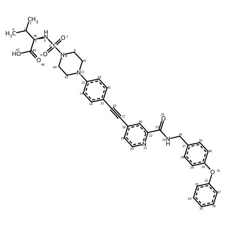 CC(C)[C@@H](NS(=O)(=O)N1CCN(c2ccc(C#Cc3ccnc(C(=O)NCc4ccc(Oc5ccccc5)cc4)c3)cc2)CC1)C(=O)O